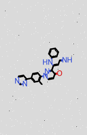 Cc1cc(-c2ccncn2)ccc1-n1ccc(=O)c(/C(=C/C=N)Nc2ccccc2)n1